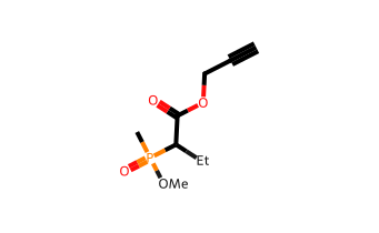 C#CCOC(=O)C(CC)P(C)(=O)OC